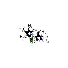 CCc1c(C)c(C)nc([S][Sn]([Cl])([Cl])[S]c2nc(C)c(C)c(CC)c2C)c1C